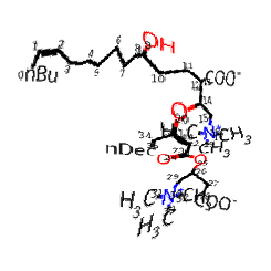 CCCC/C=C\CCCCCC(O)CCC(C(=O)[O-])C(C[N+](C)(C)C)OC(=CC(=O)OC(CC(=O)[O-])C[N+](C)(C)C)CCCCCCCCCCC